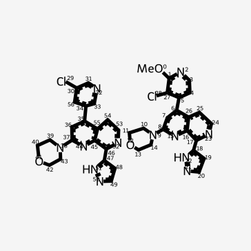 COc1nccc(-c2cc(N3CCOCC3)nc3c(-c4ccn[nH]4)nccc23)c1Cl.Clc1cncc(-c2cc(N3CCOCC3)nc3c(-c4ccn[nH]4)nccc23)c1